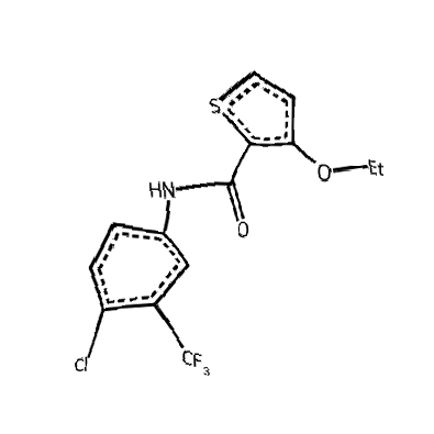 CCOc1ccsc1C(=O)Nc1ccc(Cl)c(C(F)(F)F)c1